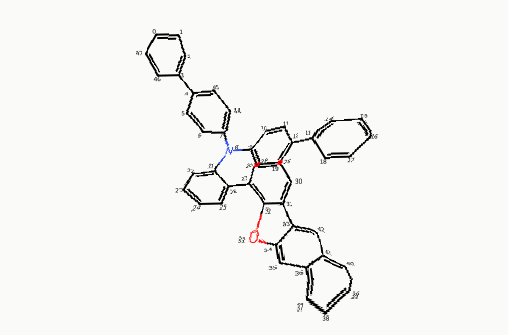 c1ccc(-c2ccc(N(c3ccc(-c4ccccc4)cc3)c3ccccc3-c3cccc4c3oc3cc5ccccc5cc34)cc2)cc1